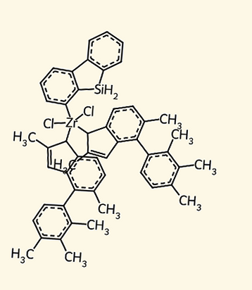 CC1=Cc2c(ccc(C)c2-c2ccc(C)c(C)c2C)[CH]1[Zr]([Cl])([Cl])([c]1cccc2c1[SiH2]c1ccccc1-2)[CH]1C(C)=Cc2c1ccc(C)c2-c1ccc(C)c(C)c1C